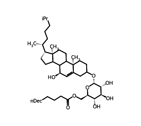 CCCCCCCCCCCCCC(=O)OC[C@H]1O[C@H](OC2CC[C@@]3(C)C(=C[C@@H](O)C4C3CC[C@@]3(C)C4CC[C@@H]3[C@H](C)CCCC(C)C)C2)[C@H](O)[C@@H](O)[C@@H]1O